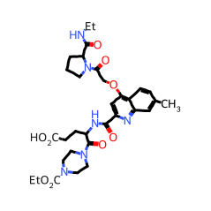 CCNC(=O)C1CCCN1C(=O)COc1cc(C(=O)NC(CCC(=O)O)C(=O)N2CCN(C(=O)OCC)CC2)nc2cc(C)ccc12